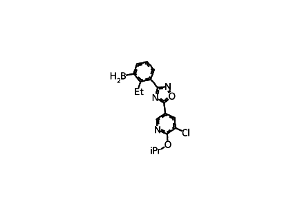 Bc1cccc(-c2noc(-c3cnc(OC(C)C)c(Cl)c3)n2)c1CC